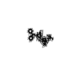 CCc1nnc([C@H]2O[C@@H](n3cnc4c(NCC(c5ccccc5)c5ccccc5)nc(Cl)nc43)[C@@H]3OC(C)(C)O[C@@H]32)o1